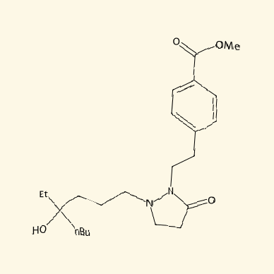 CCCCC(O)(CC)CCCN1CCC(=O)N1CCc1ccc(C(=O)OC)cc1